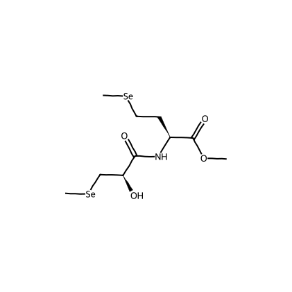 COC(=O)[C@H](CC[Se]C)NC(=O)[C@@H](O)C[Se]C